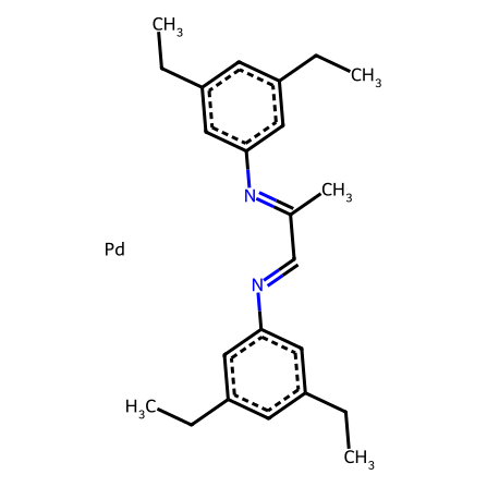 CCc1cc(CC)cc(N=CC(C)=Nc2cc(CC)cc(CC)c2)c1.[Pd]